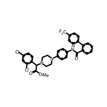 COC(=O)C(c1ccc(Cl)cc1Cl)N1CCN(c2ccc(NC(=O)c3ccccc3-c3ccc(C(F)(F)F)cc3)cc2)CC1